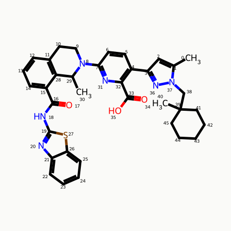 Cc1cc(-c2ccc(N3CCc4cccc(C(=O)Nc5nc6ccccc6s5)c4C3C)nc2C(=O)O)nn1CC1(C)CCCCC1